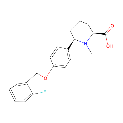 CN1[C@@H](c2ccc(OCc3ccccc3F)cc2)CCC[C@H]1C(=O)O